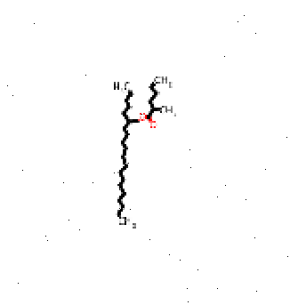 CCCCCCCCCCCCCCC(CCCCC)COC(=O)C(C)CCCC